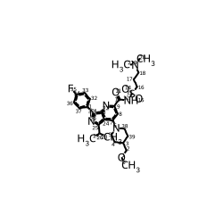 COCC1CCN(c2cc(C(=O)NS(=O)(=O)CCCN(C)C)nc3c2c(C(C)C)nn3-c2ccc(F)cc2)CC1